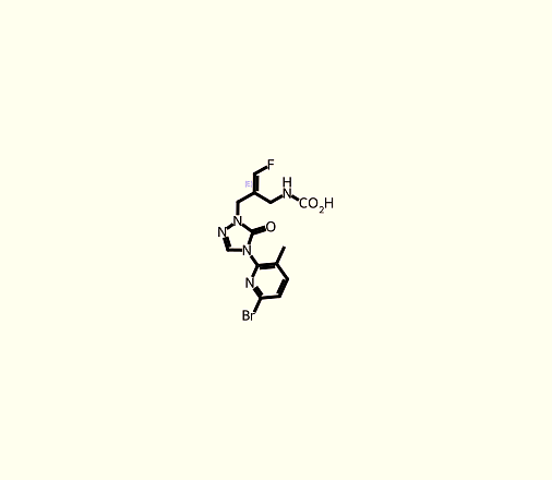 Cc1ccc(Br)nc1-n1cnn(C/C(=C/F)CNC(=O)O)c1=O